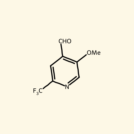 COc1cnc(C(F)(F)F)cc1C=O